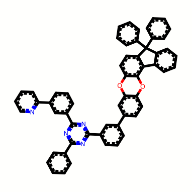 c1ccc(-c2nc(-c3cccc(-c4ccc5c(c4)Oc4ccc6c(c4O5)-c4ccccc4C6(c4ccccc4)c4ccccc4)c3)nc(-c3cccc(-c4ccccn4)c3)n2)cc1